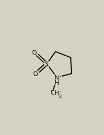 [CH2-][NH+]1CCCS1(=O)=O